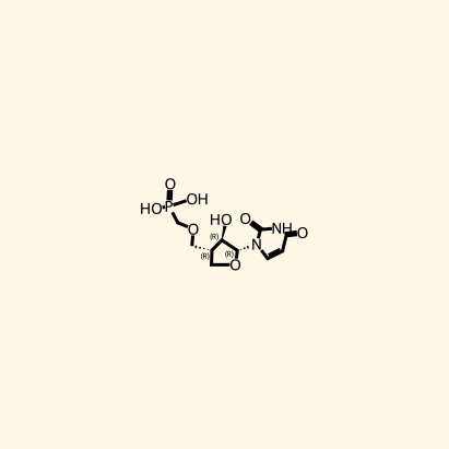 O=c1ccn([C@@H]2OC[C@H](COCP(=O)(O)O)[C@H]2O)c(=O)[nH]1